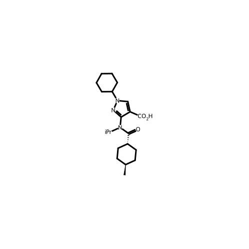 CC(C)N(c1nn(C2CCCCC2)cc1C(=O)O)C(=O)[C@H]1CC[C@H](C)CC1